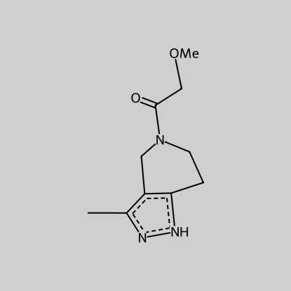 COCC(=O)N1CCc2[nH]nc(C)c2C1